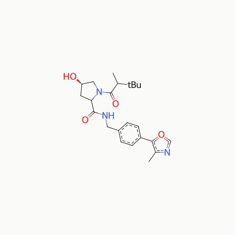 Cc1ncoc1-c1ccc(CNC(=O)C2C[C@@H](O)CN2C(=O)C(C)C(C)(C)C)cc1